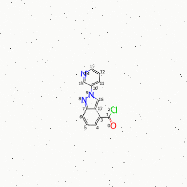 O=C(Cl)c1cccc2nn(-c3cccnc3)cc12